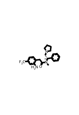 CN(C(=O)Cc1ccc(C(F)(F)F)cc1N)[C@H](CN1CCCC1)c1ccccc1